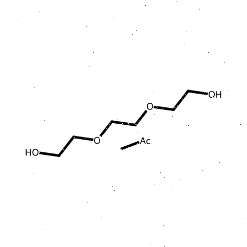 CC(C)=O.OCCOCCOCCO